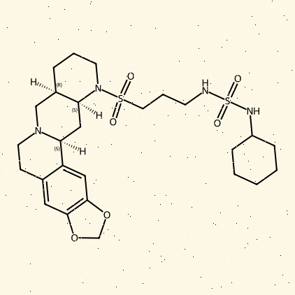 O=S(=O)(NCCCS(=O)(=O)N1CCC[C@@H]2CN3CCc4cc5c(cc4[C@@H]3C[C@@H]21)OCO5)NC1CCCCC1